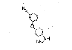 N#Cc1cccc(Oc2ccc3[nH]cnc3c2)c1